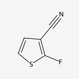 N#Cc1ccsc1F